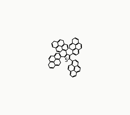 C1=Cc2ccc3ccc(-c4c(-c5ccc6ccc7cccc8ccc5c6c78)sc(-c5ccc6ccc7c8c6c5CC=C8C=CC7)c4-c4ccc5c6c7c(ccc46)C=CCC7=CC5)c4c3c2C(=CC4)C1